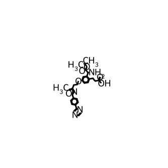 Cc1oc(-c2ccc(-c3cnccn3)cc2)nc1CCOc1ccc(CCC(=O)O)c(C(N)C(=O)OC(C)C)c1